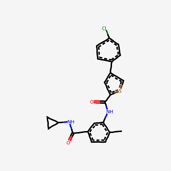 Cc1ccc(C(=O)NC2CC2)cc1NC(=O)c1cc(-c2ccc(Cl)cc2)cs1